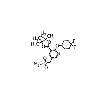 CC1(C)OB(c2cc(CS(C)(=O)=O)cnc2OC2CCC(F)(F)CC2)OC1(C)C